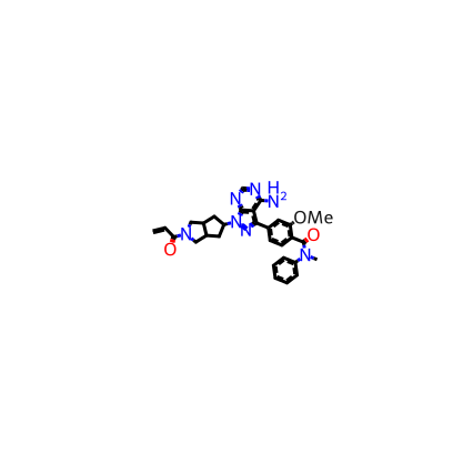 C=CC(=O)N1CC2CC(n3nc(-c4ccc(C(=O)N(C)c5ccccc5)c(OC)c4)c4c(N)ncnc43)CC2C1